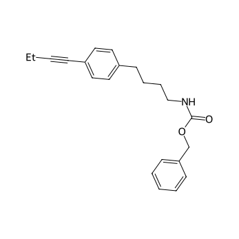 CCC#Cc1ccc(CCCCNC(=O)OCc2ccccc2)cc1